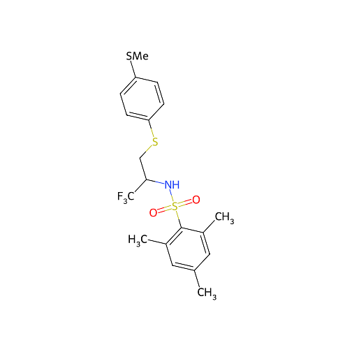 CSc1ccc(SCC(NS(=O)(=O)c2c(C)cc(C)cc2C)C(F)(F)F)cc1